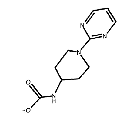 O=C(O)NC1CCN(c2ncccn2)CC1